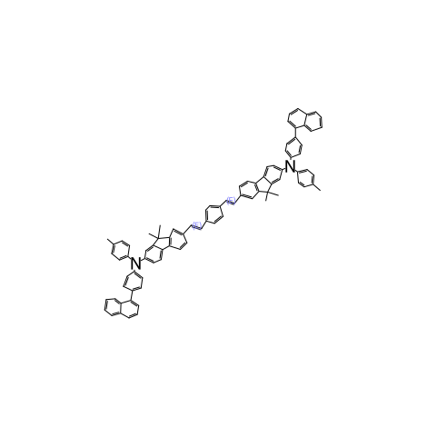 Cc1ccc(N(c2ccc(-c3cccc4ccccc34)cc2)c2ccc3c(c2)C(C)(C)c2cc(/C=C/c4ccc(/C=C/c5ccc6c(c5)C(C)(C)c5cc(N(c7ccc(C)cc7)c7ccc(-c8cccc9ccccc89)cc7)ccc5-6)cc4)ccc2-3)cc1